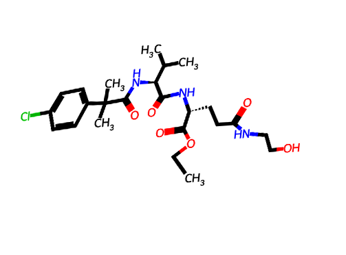 CCOC(=O)[C@@H](CCC(=O)NCCO)NC(=O)[C@@H](NC(=O)C(C)(C)c1ccc(Cl)cc1)C(C)C